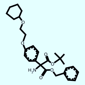 CC(C)(C)OC(=O)C(N)(C(=O)OCc1ccccc1)c1ccc(OCCOC2CCCCC2)cc1